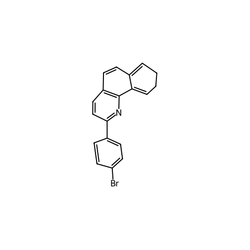 Brc1ccc(-c2ccc3ccc4c(c3n2)=CCCC=4)cc1